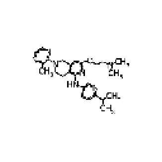 Cc1nccnc1N1CCc2c(cc(OCCN(C)C)nc2Nc2ccc(C(C)C)nc2)C1